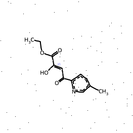 CCOC(=O)/C(O)=C/C(=O)c1ccc(C)cn1